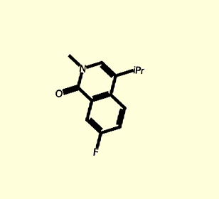 CC(C)c1cn(C)c(=O)c2cc(F)ccc12